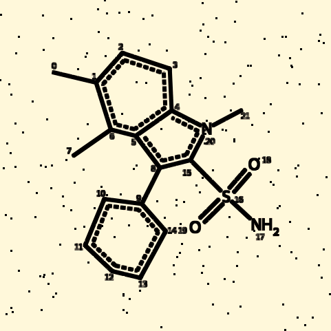 Cc1ccc2c(c1C)c(-c1ccccc1)c(S(N)(=O)=O)n2C